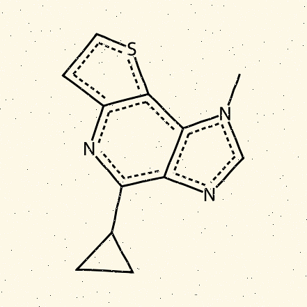 Cn1cnc2c(C3CC3)nc3ccsc3c21